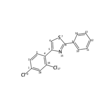 Clc1ccc(-c2csc(-c3ccccc3)n2)c(Cl)c1